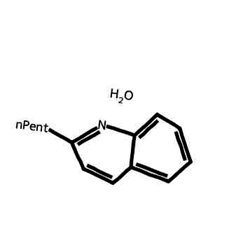 CCCCCc1ccc2ccccc2n1.O